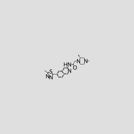 Cc1nnc(-c2ccc3cnc(NC(=O)CN4CCN(C)C[C@@H]4C)cc3c2)s1